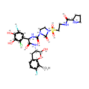 O=C(O)c1c(F)ccc2c1OB(O)[C@@H](NC(=O)C(NC(=O)N1CCN(S(=O)(=O)CCNC(=O)C3CCCN3)C1=O)c1cc(F)c(O)c(O)c1Cl)C2